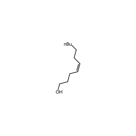 CCCCCC/C=C\CCCO